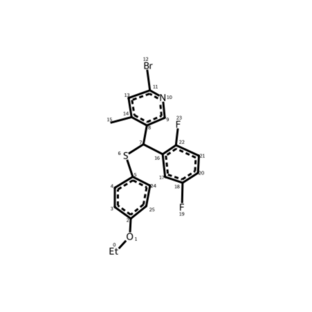 CCOc1ccc(SC(c2cnc(Br)cc2C)c2cc(F)ccc2F)cc1